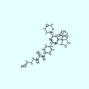 CS(=O)(=O)C1(c2cc(N3CCOCC3)nc(-c3ccc(NC(=O)NCCCO)cc3)n2)CCCC1